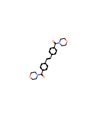 O=C(c1ccc(C=Cc2ccc(C(=O)N3CCOCC3)cc2)cc1)N1CCOCC1